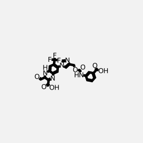 O=CC1Nc2cc(C(F)(F)F)c(-n3cnc(COC(=O)Nc4cccc(C(=O)O)c4)c3)cc2N=C1C(=O)O